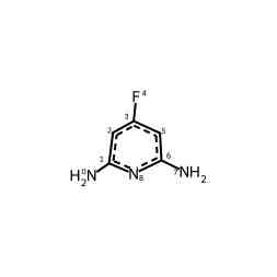 Nc1cc(F)cc(N)n1